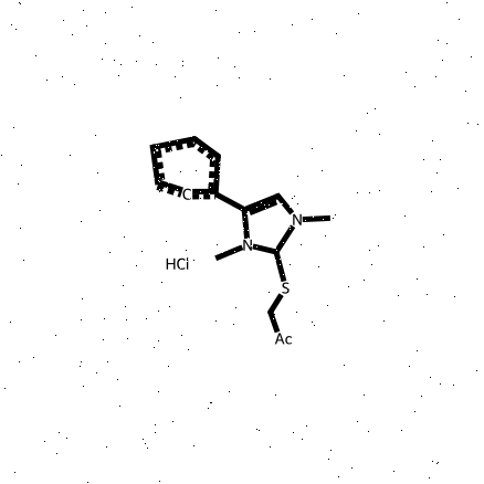 CC(=O)CSC1N(C)C=C(c2ccccc2)N1C.Cl